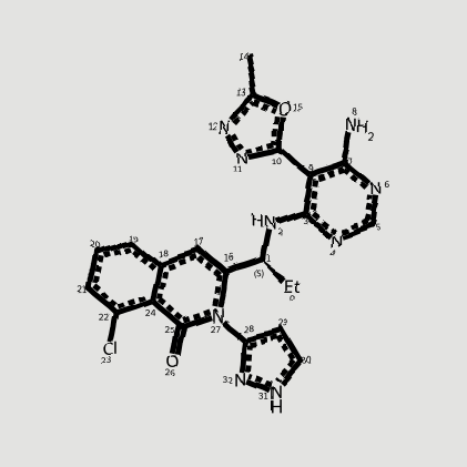 CC[C@H](Nc1ncnc(N)c1-c1nnc(C)o1)c1cc2cccc(Cl)c2c(=O)n1-c1cc[nH]n1